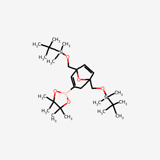 CC1(C)OB(C2=CC3(CO[Si](C)(C)C(C)(C)C)C=CC(CO[Si](C)(C)C(C)(C)C)(C2)O3)OC1(C)C